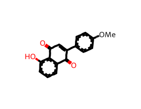 COc1ccc(C2=CC(=O)c3c(O)cccc3C2=O)cc1